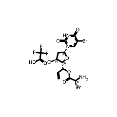 C=CC(OC(=O)[C@@H](N)C(C)C)[C@H]1O[C@@H](n2cc(Br)c(=O)[nH]c2=O)C[C@@H]1Cl.O=C(O)C(F)(F)F